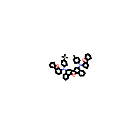 Cc1ccc(N(c2cc3c4cc(N(c5ccc([Si](C)(C)C)cc5)c5cccc6c5oc5ccccc56)c5ccccc5c4oc3c3ccccc23)c2cccc3c2oc2ccccc23)cc1